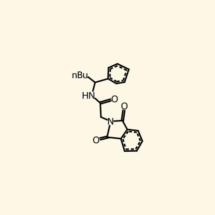 CCCCC(NC(=O)CN1C(=O)c2ccccc2C1=O)c1ccccc1